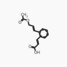 CC(=O)OC/C=C/c1ccccc1/C=C/C(=O)O